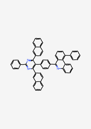 c1ccc(-c2nc(-c3ccc4ccccc4c3)c(-c3ccc(-c4nc5ccccc5c5c(-c6ccccc6)cccc45)cc3)c(-c3ccc4ccccc4c3)n2)cc1